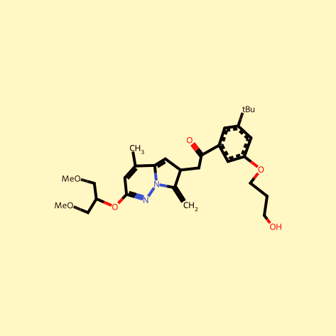 C=C1C(CC(=O)c2cc(OCCCO)cc(C(C)(C)C)c2)C=C2C(C)=CC(OC(COC)COC)=NN12